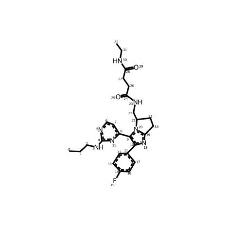 CCCNc1nccc(-c2c(-c3ccc(F)cc3)nc3n2C(CNC(=O)CCC(=O)NCC)CC3)n1